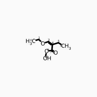 CCOC=C(CC)C(=O)OO